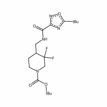 CC(C)(C)OC(=O)N1CCC(CNC(=O)c2noc(C(C)(C)C)n2)C(F)(F)C1